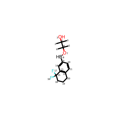 CC(C)(O)C(C)(C)OBc1ccc2c(c1)C(F)(F)CCC2